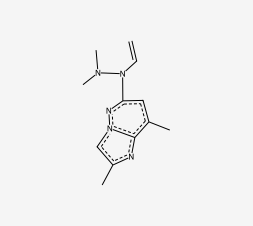 C=CN(c1cc(C)c2nc(C)cn2n1)N(C)C